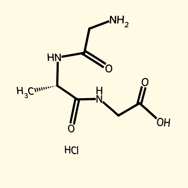 C[C@H](NC(=O)CN)C(=O)NCC(=O)O.Cl